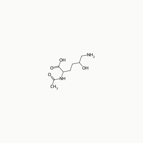 CC(=O)NC(CCC(O)CN)C(=O)O